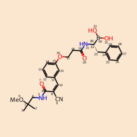 COC(C)(C)CNC(=O)C(C#N)=Cc1cccc(OCCC(=O)N[C@@H](Cc2ccccc2)B(O)O)c1